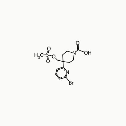 CS(=O)(=O)OCC1(c2cccc(Br)n2)CCN(C(=O)O)CC1